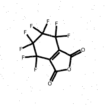 O=C1OC(=O)C2=C1C(F)(F)C(F)(F)C(F)(F)C2(F)F